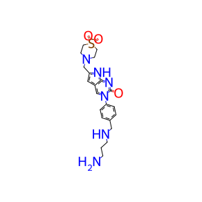 NCCCNCc1ccc(-n2cc3cc(CN4CCS(=O)(=O)CC4)[nH]c3nc2=O)cc1